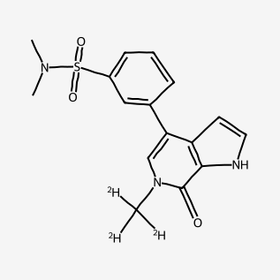 [2H]C([2H])([2H])n1cc(-c2cccc(S(=O)(=O)N(C)C)c2)c2cc[nH]c2c1=O